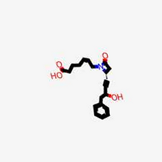 O=C(O)CCC/C=C\CN1C(=O)C[C@@H]1C#CC(O)Cc1ccccc1